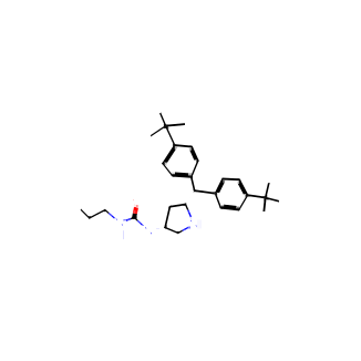 CCCNC(=O)N[C@H]1CN[C@@H](C(c2ccc(C(C)(C)C)cc2)c2ccc(C(C)(C)C)cc2)C1